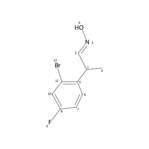 CC(C=NO)c1ccc(F)cc1Br